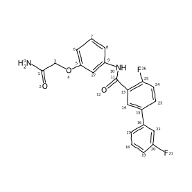 NC(=O)COc1cccc(NC(=O)c2cc(-c3cccc(F)c3)ccc2F)c1